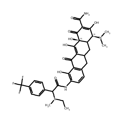 CCN(C)C(C(=O)Nc1ccc2c(c1O)C(=O)C1=C(O)[C@]3(O)C(=O)C(C(N)=O)=C(O)[C@@H](N(C)C)C3CC1C2)c1ccc(C(F)(F)F)cc1